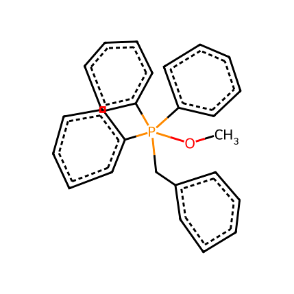 COP(Cc1ccccc1)(c1ccccc1)(c1ccccc1)c1ccccc1